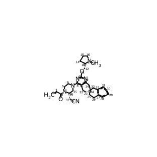 C=CC(=O)N1CCN(c2nc(OC[C@@H]3CCCN3C)nc3c2CC[C@]2(CCc4ccccc4C2)C3)C[C@@H]1CC#N